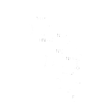 O=c1ccc2cnc(Nc3ccccc3)nc2n1C(c1ccc(F)cc1)C1CC1